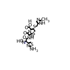 Cc1ncc(CSC2=C(C(=O)O)N3C(=O)[C@@H](NC(=O)/C(=N\O)c4csc(N)n4)[C@@H]3SC2)[nH]1